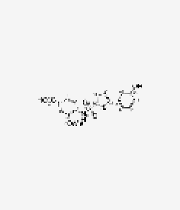 COc1cc(C(=O)O)ccc1NS(=O)(=O)c1ccc(-c2cccc(O)c2)s1